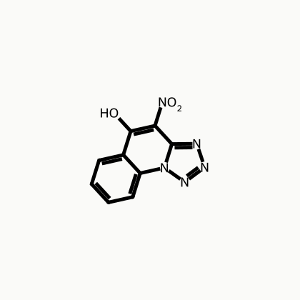 O=[N+]([O-])c1c(O)c2ccccc2n2nnnc12